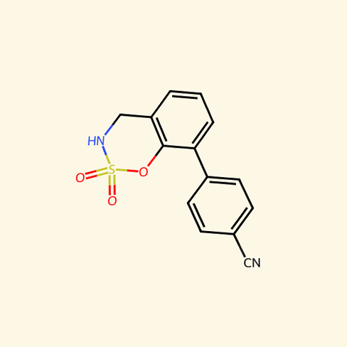 N#Cc1ccc(-c2cccc3c2OS(=O)(=O)NC3)cc1